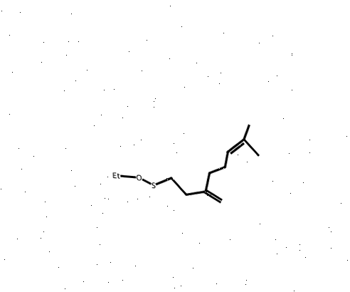 C=C(CCC=C(C)C)CCSOCC